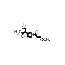 CCC(C(C)C)C1CCN(C(=O)CCOC)C1